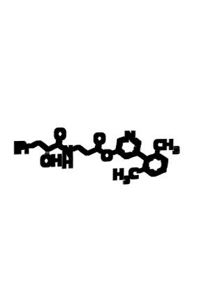 Cc1cccc(C)c1-c1cncc(OC(=O)CCNC(=O)[C@H](O)CC(C)C)c1